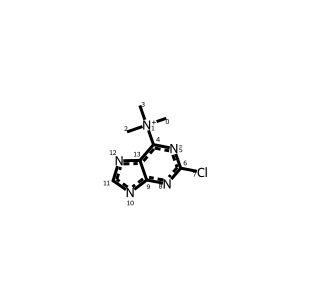 C[N+](C)(C)c1[n-]c(Cl)nc2ncnc1-2